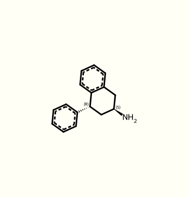 N[C@@H]1Cc2ccccc2[C@@H](c2ccccc2)C1